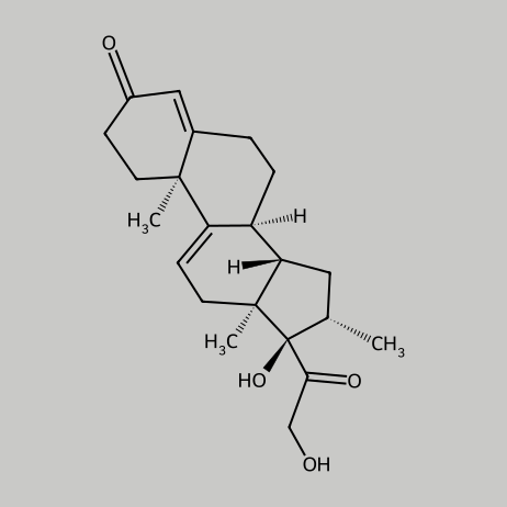 C[C@H]1C[C@H]2[C@@H]3CCC4=CC(=O)CC[C@]4(C)C3=CC[C@]2(C)[C@@]1(O)C(=O)CO